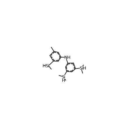 Cc1cc(Nc2cc([SiH](C)C)cc([SiH](C)C)c2)cc([SiH](C)C)c1